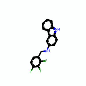 Fc1ccc(CNc2ccc3[nH]c4ccccc4c3c2)c(F)c1F